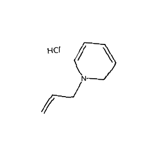 C=CCN1C=CC=CC1.Cl